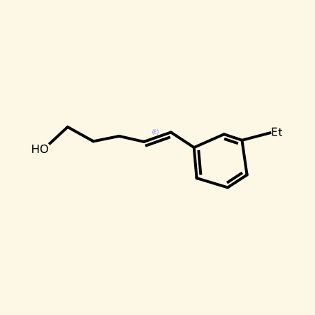 CCc1cccc(/C=C/CCCO)c1